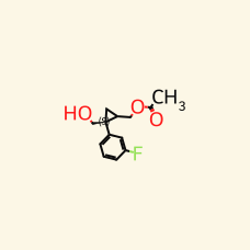 CC(=O)OCC1C[C@@]1(CO)c1cccc(F)c1